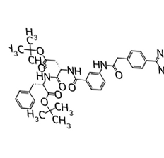 CC(C)(C)OC(=O)C[C@H](NC(=O)c1cccc(NC(=O)Cc2ccc(C(=N)N)cc2)c1)C(=O)N[C@@H](Cc1ccccc1)C(=O)OC(C)(C)C